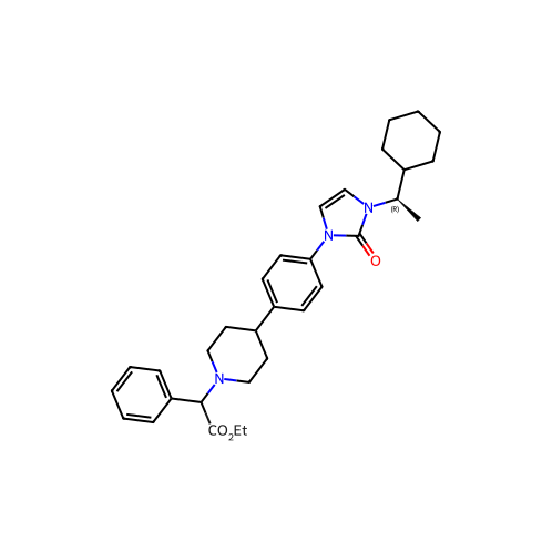 CCOC(=O)C(c1ccccc1)N1CCC(c2ccc(-n3ccn([C@H](C)C4CCCCC4)c3=O)cc2)CC1